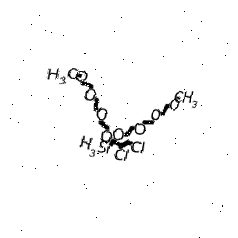 COCCOCCOCCOC([SiH3])(OCCOCCOCCOC)C(Cl)CCl